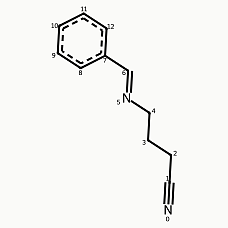 N#CCCCN=Cc1ccccc1